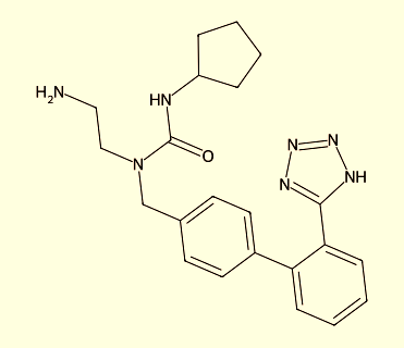 NCCN(Cc1ccc(-c2ccccc2-c2nnn[nH]2)cc1)C(=O)NC1CCCC1